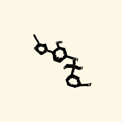 COc1cc(NS(=O)(=O)c2cccc(Cl)c2)ccc1-n1cnc(C)c1